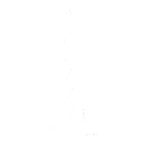 CCCO[Si](CCCCCCCCCCSC#N)(OCCC)OCCC